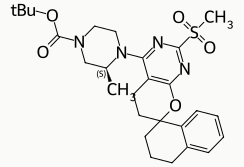 C[C@H]1CN(C(=O)OC(C)(C)C)CCN1c1nc(S(C)(=O)=O)nc2c1CCC1(CCCc3ccccc31)O2